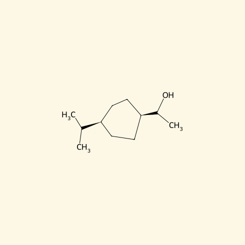 CC(C)[C@H]1CC[C@@H](C(C)O)CC1